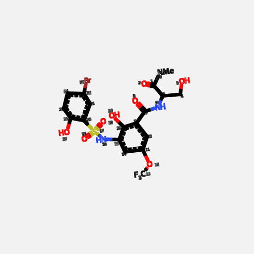 CNC(=O)C(CO)NC(=O)c1cc(OC(F)(F)F)cc(NS(=O)(=O)c2cc(Br)ccc2O)c1O